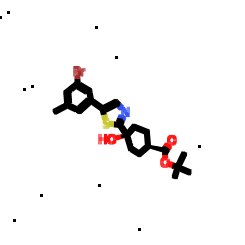 Cc1cc(Br)cc(-c2cnc([C@]3(O)CC[C@@H](C(=O)OC(C)(C)C)CC3)s2)c1